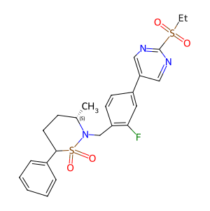 CCS(=O)(=O)c1ncc(-c2ccc(CN3[C@@H](C)CCC(c4ccccc4)S3(=O)=O)c(F)c2)cn1